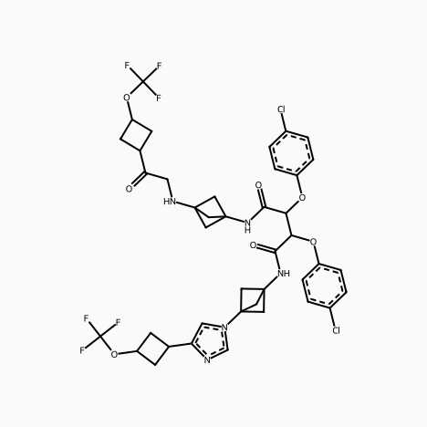 O=C(CNC12CC(NC(=O)C(Oc3ccc(Cl)cc3)C(Oc3ccc(Cl)cc3)C(=O)NC34CC(n5cnc(C6CC(OC(F)(F)F)C6)c5)(C3)C4)(C1)C2)C1CC(OC(F)(F)F)C1